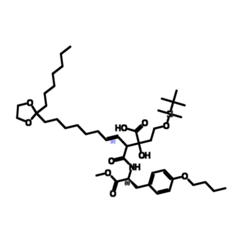 CCCCCCCC1(CCCCCC/C=C/C(C(=O)N[C@@H](Cc2ccc(OCCCC)cc2)C(=O)OC)C(O)(CCO[Si](C)(C)C(C)(C)C)C(=O)O)OCCO1